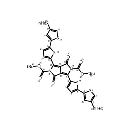 CCCCCCc1csc(-c2ccc(C3=C4C(=O)N(C(=O)OC(C)(C)C)C(c5ccc(-c6cc(CCCCCC)cs6)s5)=C4C(=O)N3C(=O)OC(C)(C)C)s2)c1